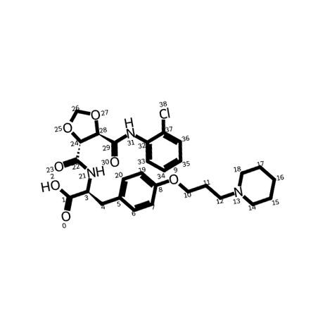 O=C(O)[C@H](Cc1ccc(OCCCN2CCCCC2)cc1)NC(=O)[C@@H]1OCO[C@H]1C(=O)Nc1ccccc1Cl